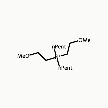 CCCCC[N+](CCCCC)(CCOC)CCOC